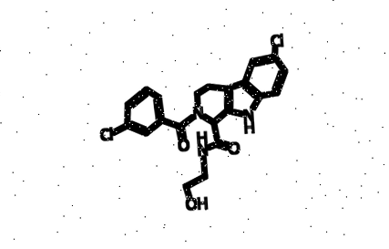 O=C(NCCO)C1c2[nH]c3ccc(Cl)cc3c2CCN1C(=O)c1cccc(Cl)c1